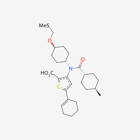 CSCO[C@H]1CC[C@H](N(c2cc(C3=CCCCC3)sc2C(=O)O)C(=O)[C@H]2CC[C@H](C)CC2)CC1